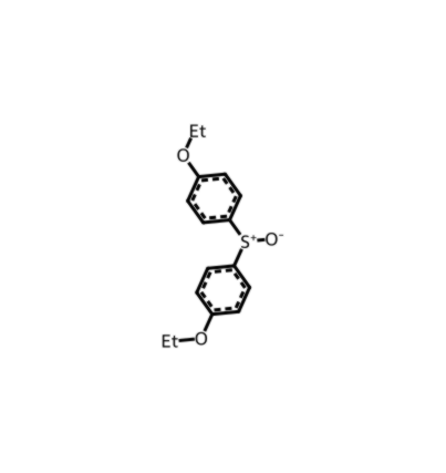 CCOc1ccc([S+]([O-])c2ccc(OCC)cc2)cc1